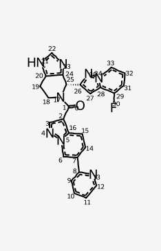 O=C(c1cnn2cc(-c3ccccn3)ccc12)N1CCc2[nH]cnc2[C@@H]1c1cc2c(F)cccn2n1